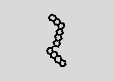 c1ccc2cc3cc4c(-c5ccc6cc7cc8ccc9cc%10ccccc%10cc9c8cc7cc6c5)cccc4cc3cc2c1